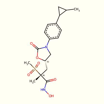 CC1CC1c1ccc(N2C[C@H](C[C@](C)(C(=O)NO)S(C)(=O)=O)OC2=O)cc1